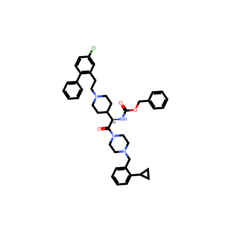 O=C(N[C@@H](C(=O)N1CCN(Cc2ccccc2C2CC2)CC1)C1CCN(CCc2cc(Cl)ccc2-c2ccccc2)CC1)OCc1ccccc1